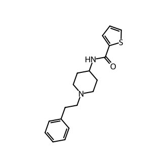 O=C(NC1CCN(CCc2ccccc2)CC1)c1cccs1